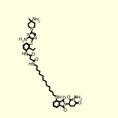 CCc1c(NC(=O)CC(=O)NCCCCCCCCCCCCNc2cccc3c2C(=O)N(C2CCC(=O)N(N)C2=O)C3=O)cccc1Sc1ncc(N2CCC(C)(N)CC2)nc1N